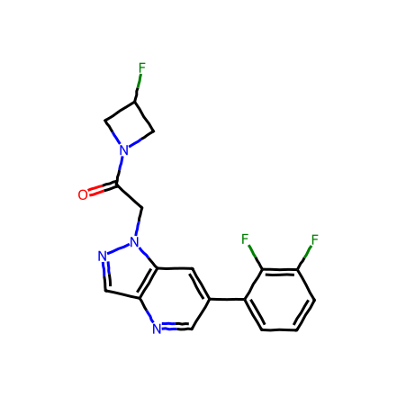 O=C(Cn1ncc2ncc(-c3cccc(F)c3F)cc21)N1CC(F)C1